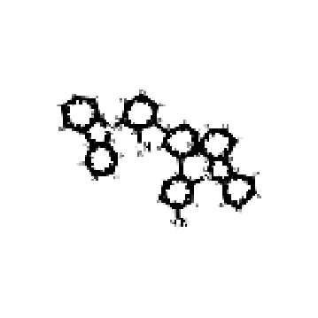 N#Cc1ccc(-c2cccc(-c3cccc(-n4c5ccccc5c5ccccc54)c3C#N)c2)c(-n2c3ccccc3c3ccccc32)c1